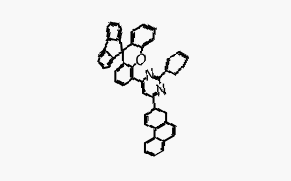 C1=CCCC(c2nc(-c3cccc4c3Oc3ccccc3C43c4ccccc4-c4ccccc43)cc(C3C=Cc4c(ccc5ccccc45)C3)n2)=C1